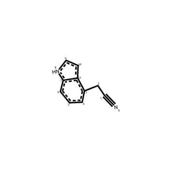 N#CCc1cccc2[nH]ccc12